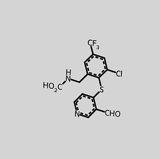 O=Cc1cnccc1Sc1c(Cl)cc(C(F)(F)F)cc1CNC(=O)O